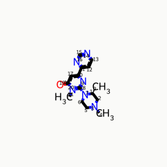 C[C@@H]1CN(C)CCN1c1nc(-c2ccncn2)cc(=O)n1C